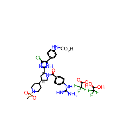 CS(=O)(=O)N1CCC([C@H]2C[C@@H](c3nc(Cl)c(-c4ccc(NC(=O)O)cc4)[nH]3)N(C(=O)c3ccc(NC(=N)N)cc3)C2)CC1.O=C(O)C(F)(F)F.O=C(O)C(F)(F)F